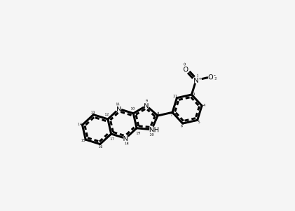 O=[N+]([O-])c1cccc(-c2nc3nc4ccccc4nc3[nH]2)c1